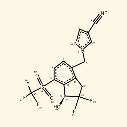 N#Cc1cnn(Cc2ccc(S(=O)(=O)C(F)(F)F)c3c2CC(F)(F)[C@H]3O)c1